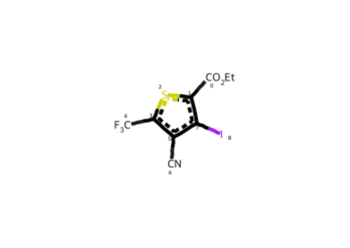 CCOC(=O)c1sc(C(F)(F)F)c(C#N)c1I